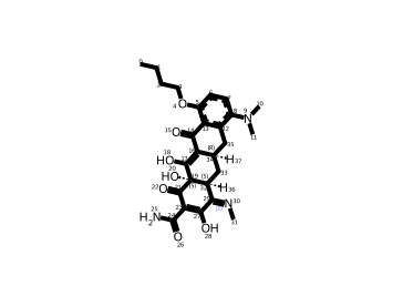 CCCCOc1ccc(N(C)C)c2c1C(=O)C1=C(O)[C@]3(O)C(=O)C(C(N)=O)=C(O)/C(=N\C)[C@@H]3C[C@@H]1C2